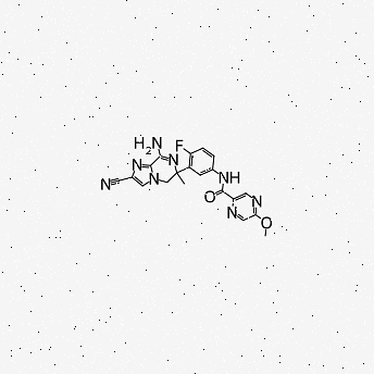 COc1cnc(C(=O)Nc2ccc(F)c(C3(C)Cn4cc(C#N)nc4C(N)=N3)c2)cn1